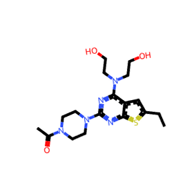 CCc1cc2c(N(CCO)CCO)nc(N3CCN(C(C)=O)CC3)nc2s1